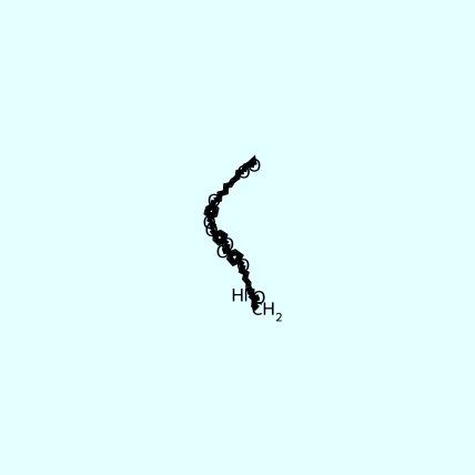 C=CC(=O)NCCCCCCOc1ccc(C(=O)Oc2ccc(OCOc3ccc(OCCCCCCCCOCC4CO4)cc3)cc2)cc1